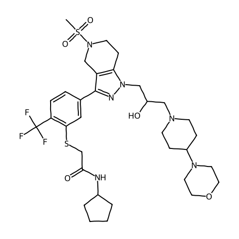 CS(=O)(=O)N1CCc2c(c(-c3ccc(C(F)(F)F)c(SCC(=O)NC4CCCC4)c3)nn2CC(O)CN2CCC(N3CCOCC3)CC2)C1